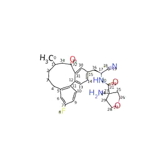 CC1CCCc2cc(F)ccc2-c2ccc(C[C@@H](C#N)NC(=O)C3(N)CCOCC3)cc2C(=O)C1